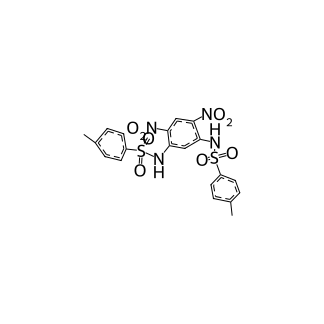 Cc1ccc(S(=O)(=O)Nc2cc(NS(=O)(=O)c3ccc(C)cc3)c([N+](=O)[O-])cc2[N+](=O)[O-])cc1